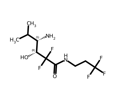 CC(C)[C@H](N)[C@@H](O)C(F)(F)C(=O)NCCC(F)(F)F